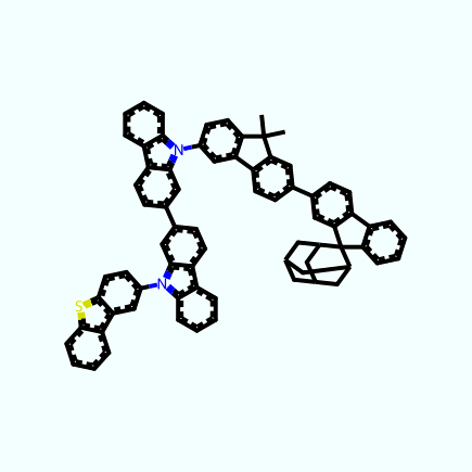 CC1(C)c2ccc(-n3c4ccccc4c4ccc(-c5ccc6c7ccccc7n(-c7ccc8sc9ccccc9c8c7)c6c5)cc43)cc2-c2ccc(-c3ccc4c(c3)C3(c5ccccc5-4)C4CC5CC(C4)CC3C5)cc21